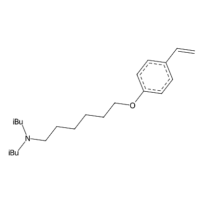 C=Cc1ccc(OCCCCCCN(C(C)CC)C(C)CC)cc1